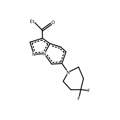 CCC(=O)c1cnn2cc(N3CCC(F)(F)CC3)ccc12